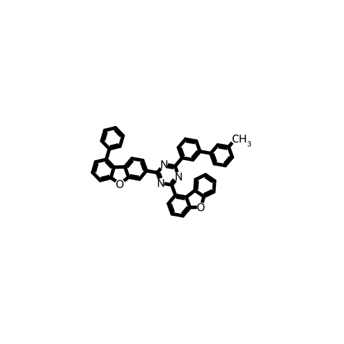 Cc1cccc(-c2cccc(-c3nc(-c4ccc5c(c4)oc4cccc(-c6ccccc6)c45)nc(-c4cccc5oc6ccccc6c45)n3)c2)c1